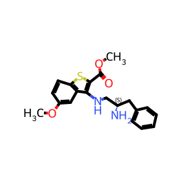 COC(=O)c1sc2ccc(OC)cc2c1NC[C@@H](N)Cc1ccccc1